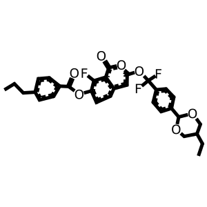 CCCc1ccc(C(=O)Oc2ccc3cc(OC(F)(F)c4ccc(C5OCC(CC)CO5)cc4)oc(=O)c3c2F)cc1